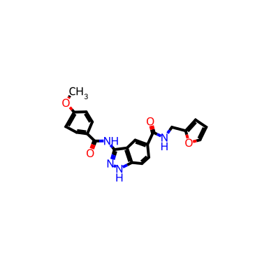 COc1ccc(C(=O)Nc2n[nH]c3ccc(C(=O)NCc4ccco4)cc23)cc1